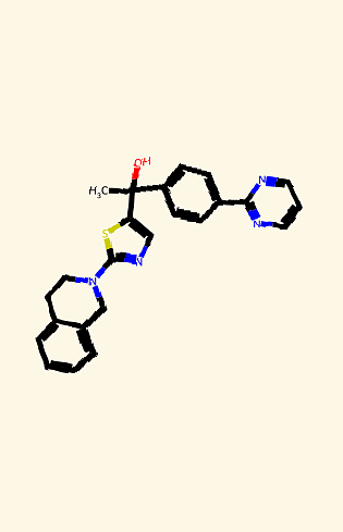 CC(O)(c1ccc(-c2ncccn2)cc1)c1cnc(N2CCc3ccccc3C2)s1